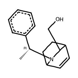 C[C@H](c1ccccc1)N1C2C=CC(CC2)C1CO